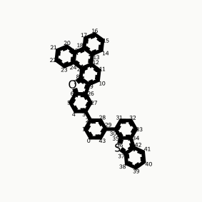 c1cc(-c2ccc3oc4c(ccc5c6ccccc6c6ccccc6c54)c3c2)cc(-c2cccc3c2sc2ccccc23)c1